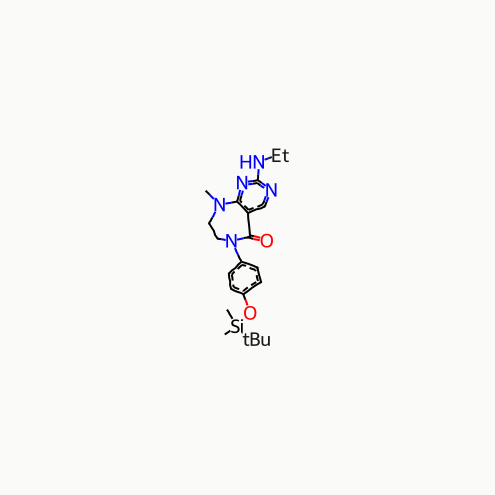 CCNc1ncc2c(n1)N(C)CCN(c1ccc(O[Si](C)(C)C(C)(C)C)cc1)C2=O